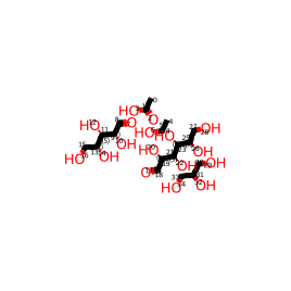 CC(=O)O.CCO.O=C[C@H](O)[C@@H](O)[C@H](O)CO.O=C[C@H](O)[C@@H](O)[C@H](O)[C@H](O)CO.OCC(O)CO